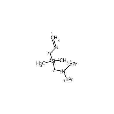 C=CC[Si](C)(C)CN(CCC)CCC